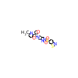 Cc1cccc([C@]2(C(=O)N3Cc4cn(S(=O)(=O)c5ccc6ncsc6c5)nc4C3)CCOC2)n1